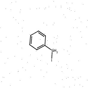 I[SiH2]c1ccccc1